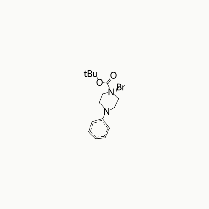 CC(C)(C)OC(=O)[N+]1(Br)CCN(c2ccccc2)CC1